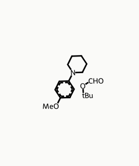 CC(C)(C)OC=O.COc1ccc(N2CCCCC2)cc1